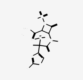 CCN(C(=O)C(CC)(c1csc(N)n1)P(=O)(O)O)C1C(=O)N(S(=O)(=O)[O-])C1C(=O)OC.[Na+]